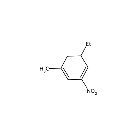 CCC1C=C([N+](=O)[O-])C=C(C)C1